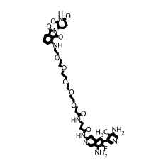 Cc1c(N)cncc1-c1cc2cc(NC(=O)CCNC(=O)CCOCCOCCOCCOCCOCCNc3cccc4c3C(=O)N(C3CCC(=O)NC3=O)C4=O)ncc2c(N)c1F